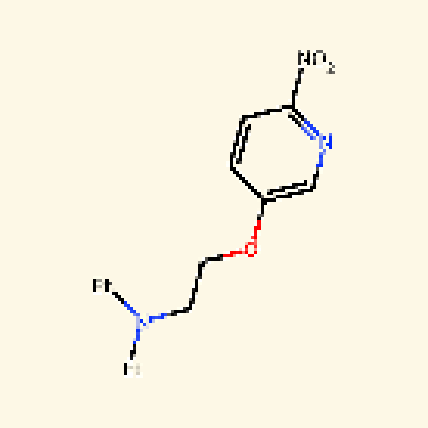 CCN(CC)CCOc1ccc([N+](=O)[O-])nc1